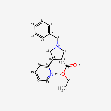 CCOC(=O)[C@H]1CN(Cc2ccccc2)C[C@@H]1c1ccccn1